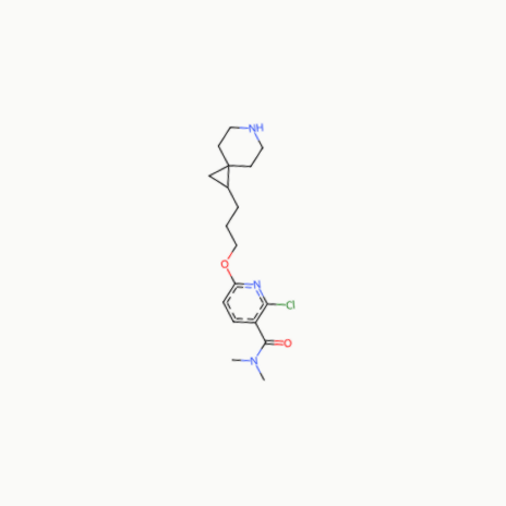 CN(C)C(=O)c1ccc(OCCCC2CC23CCNCC3)nc1Cl